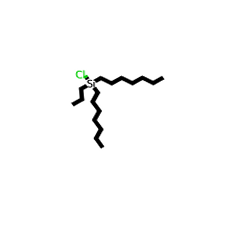 CCCCCCC[Si](Cl)(CCC)CCCCCCC